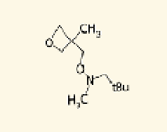 CN(CC(C)(C)C)OCC1(C)COC1